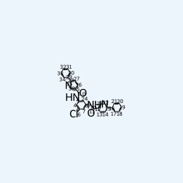 O=C(Nc1cc(Cl)cc(NC(=O)c2ccc(-c3ccccc3)nc2)c1)c1ccc(-c2ccccc2)nc1